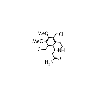 COc1c(CCl)c2c(c(CCl)c1OC)C(CC(N)=O)NCC2